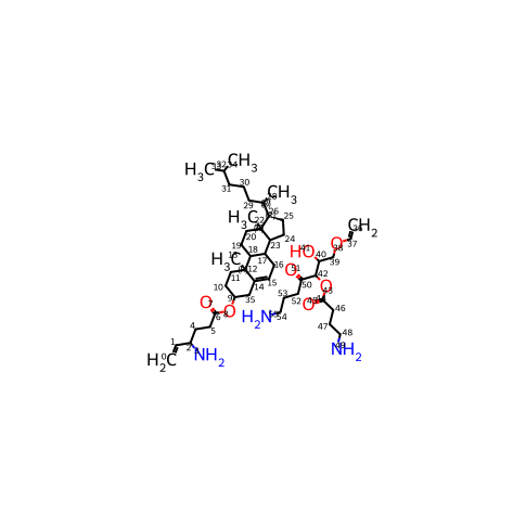 C=CC(N)CCC(=O)OC1CC[C@@]2(C)C(=CCC3C2CC[C@@]2(C)C3CC[C@@H]2[C@H](C)CCCC(C)C)C1.C=COCC(O)C(OC(=O)CCCN)C(=O)CCCN